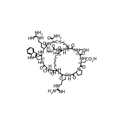 C[C@@H]1NC(=O)[C@@H]2CSSC[C@H](NC(=O)CN)C(=O)N[C@@H](CSSC[C@@H](C(N)=O)NC(=O)C(CCCNC(=N)N)NC(=O)[C@H](Cc3cc4ccccc4[nH]3)NC1=O)C(=O)N[C@@H](CO)C(=O)N[C@@H](CC(=O)O)C(=O)N1CCCC1C(=O)N[C@@H](CCCNC(=N)N)C(=O)N2